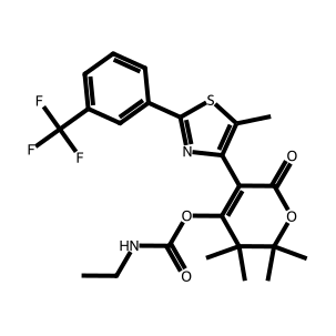 CCNC(=O)OC1=C(c2nc(-c3cccc(C(F)(F)F)c3)sc2C)C(=O)OC(C)(C)C1(C)C